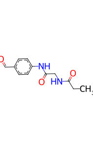 CCC(=O)NCC(=O)Nc1ccc(C=O)cc1